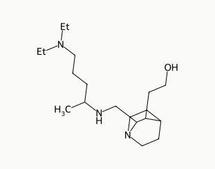 CCN(CC)CCCC(C)NCC1C(CCO)C2CCN1CC2